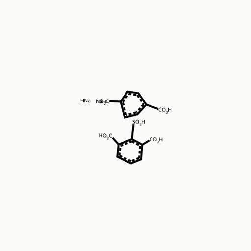 O=C(O)c1ccc(C(=O)O)cc1.O=C(O)c1cccc(C(=O)O)c1S(=O)(=O)O.[NaH].[NaH]